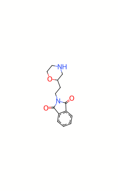 O=C1c2ccccc2C(=O)N1CCC1CNCCO1